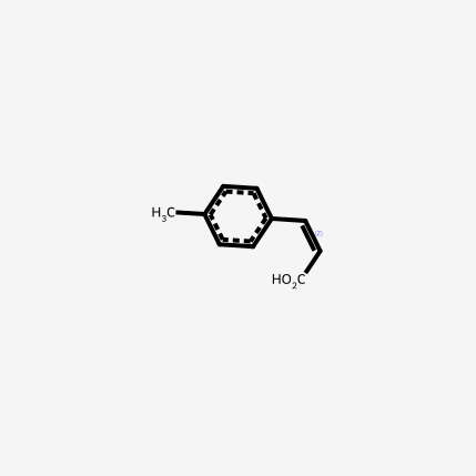 Cc1ccc(/C=C\C(=O)O)cc1